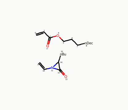 C=CC(=O)OCCCCCCCCCCCCC.C=CN1C(=O)C1CCCC